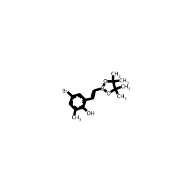 Cc1cc(Br)cc(/C=C/B2OC(C)(C)C(C)(C)O2)c1O